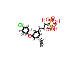 O=P(O)(O)C(CCCc1cccc(Oc2ccc(Cl)cc2)c1)S(=O)(=O)O.[K].[K].[K]